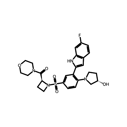 O=C([C@@H]1CCN1S(=O)(=O)c1ccc(N2CC[C@H](O)C2)c(-c2cc3ccc(F)cc3[nH]2)c1)N1CCOCC1